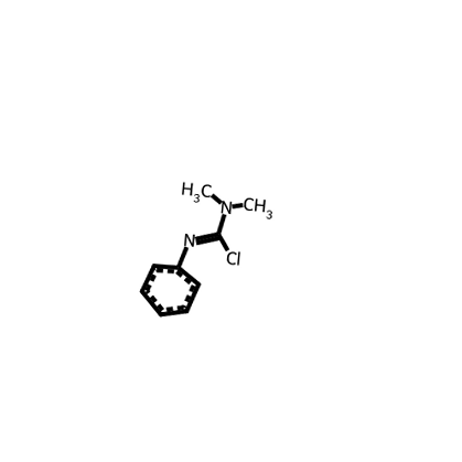 CN(C)C(Cl)=Nc1ccccc1